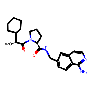 CC(=O)O[C@@H](C(=O)N1CCC[C@H]1C(=O)NCc1ccc2c(N)nccc2c1)C1CCCCC1